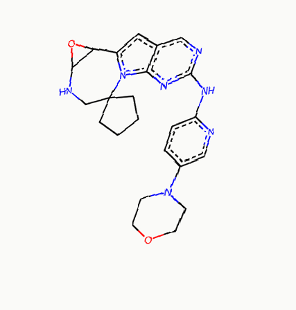 c1cc(Nc2ncc3cc4n(c3n2)C2(CCCC2)CNC2OC42)ncc1N1CCOCC1